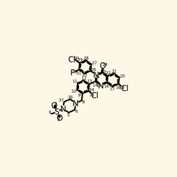 CS(=O)(=O)N1CCN(Cc2cccc(-c3nc4cc(Cl)ccc4c(=O)n3-c3ccc(Cl)c(F)c3)c2Cl)CC1